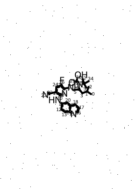 CC(C)CC(CNc1nc(Nc2ccc3ncccc3c2)c(C#N)cc1F)N(C(=O)O)C(C)(C)C